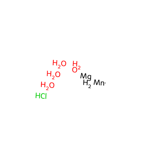 Cl.O.O.O.O.[MgH2].[Mn]